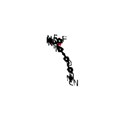 N#Cc1cn(Cc2ccc(COc3ccc(C#Cc4ccc(C(F)(F)C(O)(Cn5cnnn5)c5ccc(F)cc5F)nc4)cc3)cc2)cn1